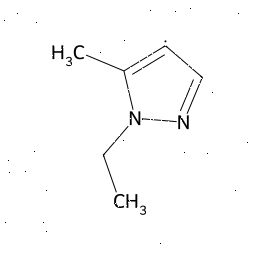 CCn1nc[c]c1C